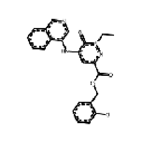 CCn1nc(C(=O)OCc2ccccc2Cl)cc(Nc2cncc3ccccc23)c1=O